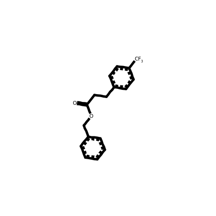 O=C(CCc1ccc(C(F)(F)F)cc1)OCc1ccccc1